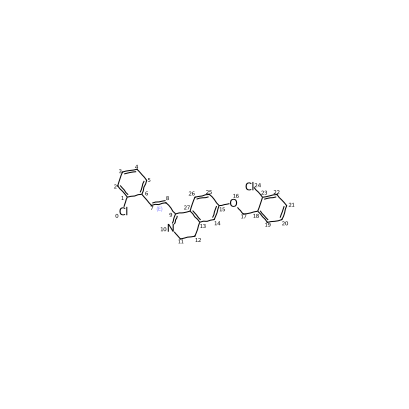 Clc1ccccc1/C=C/C1=NCCc2cc(OCc3ccccc3Cl)ccc21